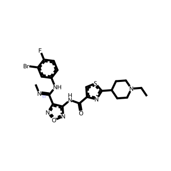 CCN1CCC(c2nc(C(=O)Nc3nonc3/C(=N/C)Nc3ccc(F)c(Br)c3)cs2)CC1